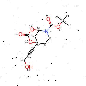 CC(C)(C)OC(=O)N1CCC2(C#CCO)CC1OC(=O)O2